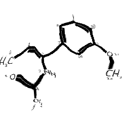 CC=C(NC(C)=O)c1cccc(OC)c1